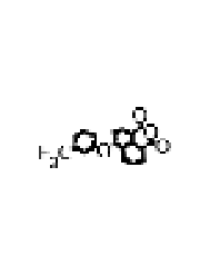 O=C1OC(=O)c2ccc(Oc3cccc(C(F)(F)F)c3)c3cccc1c23